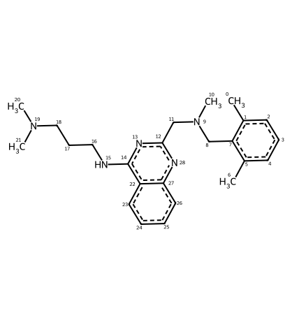 Cc1cccc(C)c1CN(C)Cc1nc(NCCCN(C)C)c2ccccc2n1